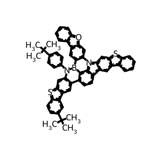 CC(C)(C)c1ccc(N2B3c4cc5c(cc4-n4c6cc7sc8ccccc8c7cc6c6ccc(c3c64)-c3cc4c(cc32)sc2ccc(C(C)(C)C)cc24)oc2ccccc25)cc1